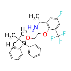 C[C@@H](N)c1cc(F)cc(C(F)(F)F)c1OCCO[Si](c1ccccc1)(c1ccccc1)C(C)(C)C